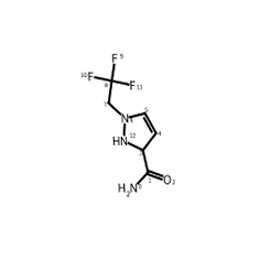 NC(=O)C1C=CN(CC(F)(F)F)N1